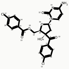 Nc1ccn([C@H]2C[C@@](O)(C(=O)c3ccc(Cl)cc3)[C@@H](COC(=O)c3ccc(Cl)cc3)O2)c(=O)n1